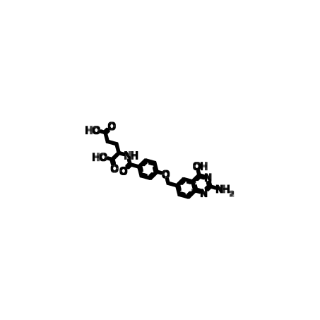 Nc1nc(O)c2cc(COc3ccc(C(=O)NC(CCC(=O)O)C(=O)O)cc3)ccc2n1